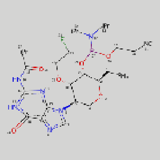 [2H]C[C@H]1OC[C@@H](n2cnc3c(=O)[nH]c(NC(=O)C(C)C)nc32)[C@H](OCCF)[C@@H]1OP(OCC[N+]#[C-])N(C(C)C)C(C)C